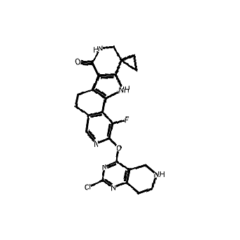 O=C1NCC2(CC2)c2[nH]c3c(c21)CCc1cnc(Oc2nc(Cl)nc4c2CNCC4)c(F)c1-3